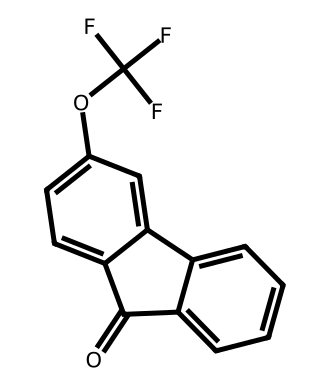 O=C1c2ccccc2-c2cc(OC(F)(F)F)ccc21